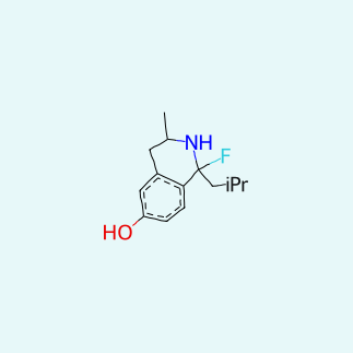 CC(C)CC1(F)NC(C)Cc2cc(O)ccc21